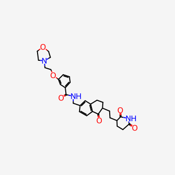 O=C1CCC(CCC2CCc3cc(CNC(=O)c4cccc(OCCN5CCOCC5)c4)ccc3C2=O)C(=O)N1